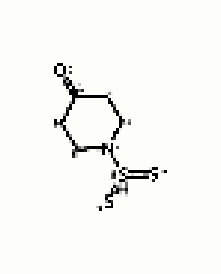 O=C1CCN([SH](=S)=S)CC1